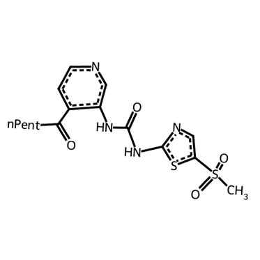 CCCCCC(=O)c1ccncc1NC(=O)Nc1ncc(S(C)(=O)=O)s1